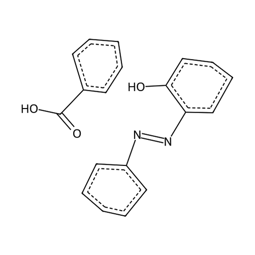 O=C(O)c1ccccc1.Oc1ccccc1N=Nc1ccccc1